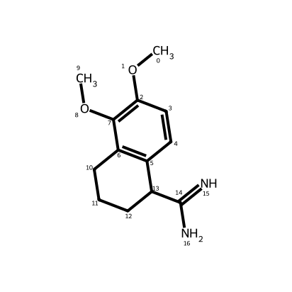 COc1ccc2c(c1OC)CCCC2C(=N)N